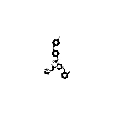 O=C(Nc1ccc(Oc2ccc(F)cc2)cc1)[C@@H]1C[C@@H](Cc2ccccc2F)CN1C(=O)Cn1ccnn1